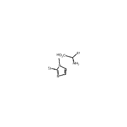 CCC(N)C(=O)O.CCc1nccn1C